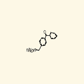 CCCCCCCCCCc1ccc(C(=O)c2ccccc2)cc1